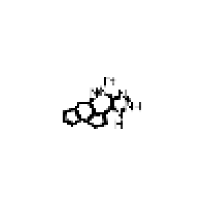 CCn1nc2c3c(c4[nH][nH]cnc1=4)=CCC=3C1=C(CC=C1)C2